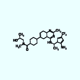 CC1=NC2CC=C(C3CCC(C(=O)N(C)CC(C)O)CC3)CC2C(NC(C)C2C=C(C(F)(F)F)C=C2N)=N1